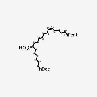 CCCCCCCCCCCCCCCCC(CCCCCC/C=C\CCCCC(C)CCC)C(=O)O